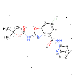 CC(C)(C)OC(=O)Nc1nc2c(C(=O)NC3CC4CCN3CC4)cc(Cl)cc2o1